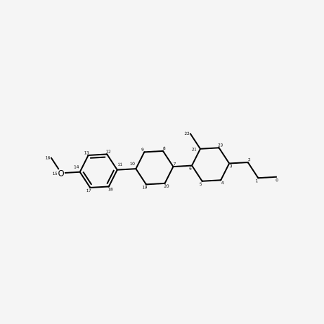 CCCC1CCC(C2CCC(c3ccc(OC)cc3)CC2)C(C)C1